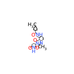 CC1=NC2C=CC=C(CNC(=O)c3ccc(C)cc3)C2C(=O)N1C1CCC(=O)NC1=O